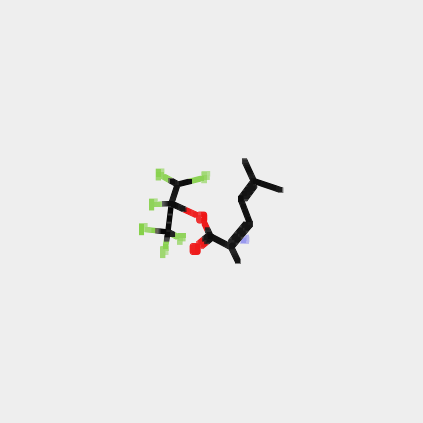 CC(C)=C/C=C(/C)C(=O)OC(F)(C(F)F)C(F)(F)F